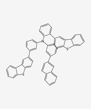 c1cc(-c2ccc3ccccc3c2)cc(N(c2cccc(-c3ccc4sc5ccccc5c4c3)c2)c2ccccc2-c2ccc3sc4ccccc4c3c2)c1